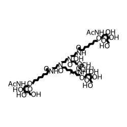 CC(=O)NC1[C@H](OCCCCCCCC(=O)NCCCN(CCCN(CCCNC(=O)CCCCCCCO[C@@H]2OC(CO)[C@H](O)[C@H](O)C2NC(C)=O)C(=O)C(O)COP(C)(=O)O)C(=O)CCCCCCCO[C@@H]2OC(CO)[C@H](O)[C@H](O)C2NC(C)=O)OC(CO)[C@H](O)[C@@H]1O